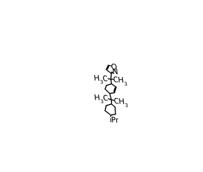 CC(C)C1CCC(C(C)(C)C2C=CC(C(C)(C)c3ccon3)CC2)CC1